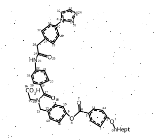 CCCCCCCOc1ccc(C(=O)Oc2ccc(CN(CC(=O)O)C(=O)c3ccc(NC(=O)Cc4ccc(-n5ccnn5)cc4)cc3)cc2)cc1